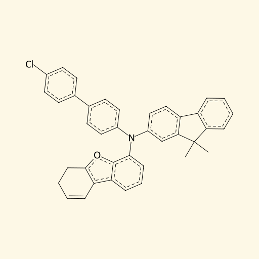 CC1(C)c2ccccc2-c2ccc(N(c3ccc(-c4ccc(Cl)cc4)cc3)c3cccc4c5c(oc34)CCC=C5)cc21